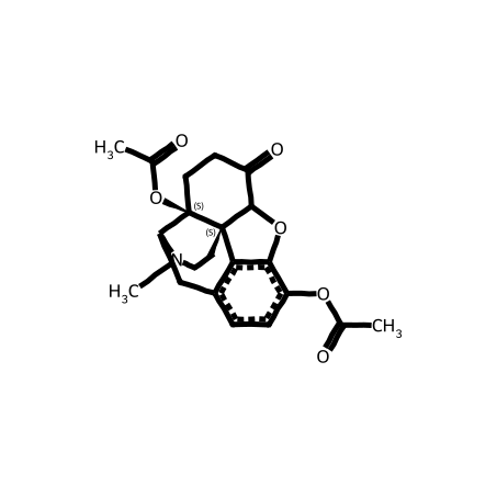 CC(=O)Oc1ccc2c3c1OC1C(=O)CC[C@@]4(OC(C)=O)C(C2)N(C)CC[C@]314